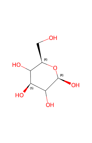 OC[C@H]1O[C@@H](O)C(O)[C@@H](O)C1O